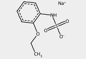 CCOc1ccccc1NS(=O)(=O)[O-].[Na+]